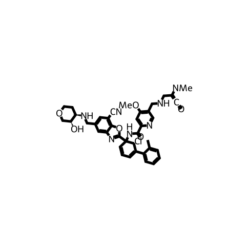 CNC(=C=O)CNCc1cnc(C(=O)NC2(c3nc4cc(CN[C@@H]5CCOC[C@H]5O)cc(C#N)c4o3)C=CC=C(c3ccccc3C)C2Cl)cc1OC